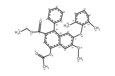 CCOC(=O)c1cc(OC(C)=O)c2cc(OC)c(Sc3c(C)cccc3C)cc2c1-c1ccccc1